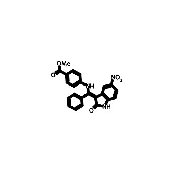 COC(=O)c1ccc(NC(=C2C(=O)Nc3ccc([N+](=O)[O-])cc32)c2ccccc2)cc1